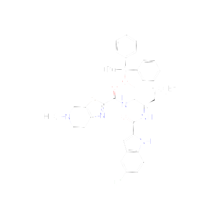 CCOC(=O)C[C@@H](NC(=O)c1cc2cc(Cl)ccc2[nH]1)[C@@H](CO[Si](c1ccccc1)(c1ccccc1)C(C)(C)C)NC(=O)c1nc2c(s1)CN(C)CC2